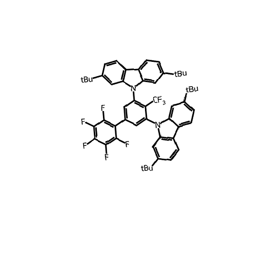 CC(C)(C)c1ccc2c3ccc(C(C)(C)C)cc3n(-c3cc(-c4c(F)c(F)c(F)c(F)c4F)cc(-n4c5cc(C(C)(C)C)ccc5c5ccc(C(C)(C)C)cc54)c3C(F)(F)F)c2c1